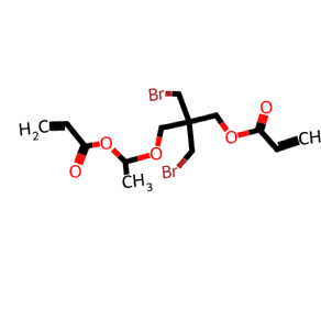 C=CC(=O)OCC(CBr)(CBr)COC(C)OC(=O)C=C